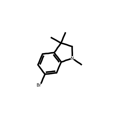 CN1CC(C)(C)c2ccc(Br)cc21